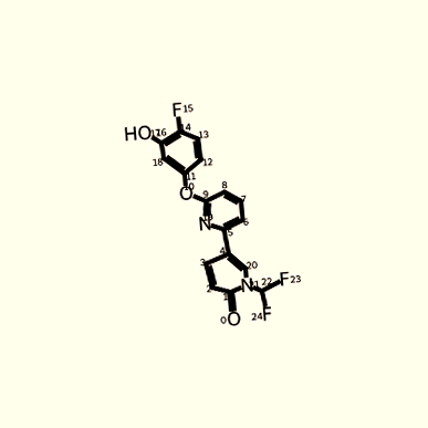 O=c1ccc(-c2cccc(Oc3ccc(F)c(O)c3)n2)cn1C(F)F